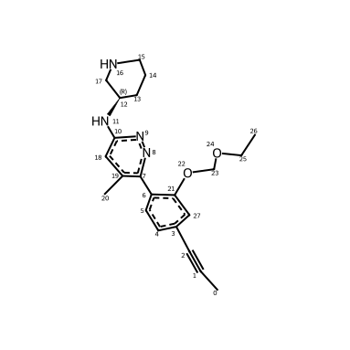 CC#Cc1ccc(-c2nnc(N[C@@H]3CCCNC3)cc2C)c(OCOCC)c1